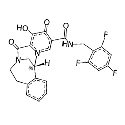 O=C(NCc1c(F)cc(F)cc1F)c1cn2c(c(O)c1=O)C(=O)N1CCc3ccccc3[C@@H]2C1